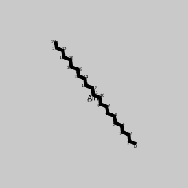 CCCCCCCCCCCCCCCCCCCCCCC.[AlH3]